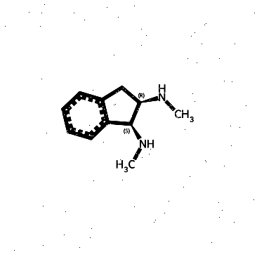 CN[C@@H]1Cc2ccccc2[C@@H]1NC